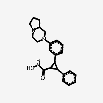 O=C(NO)C1C(c2ccccc2)C1c1cccc(N2CCN3CCCC3C2)c1